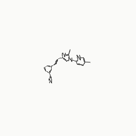 Cc1ccc(-n2cc(C#Cc3cccc(C#N)c3)nc2C)nc1